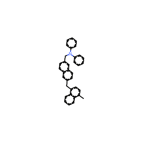 Cc1ccc(Cc2ccc3cc(CN(c4ccccc4)c4ccccc4)ccc3c2)c2ccccc12